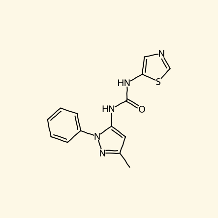 Cc1cc(NC(=O)Nc2cncs2)n(-c2ccccc2)n1